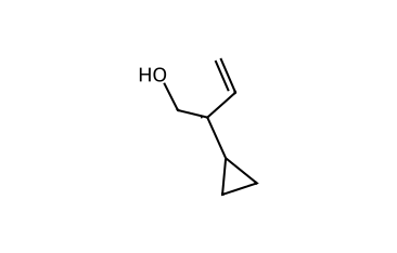 C=C[C](CO)C1CC1